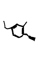 C#Cc1ccc(CC)cc1C